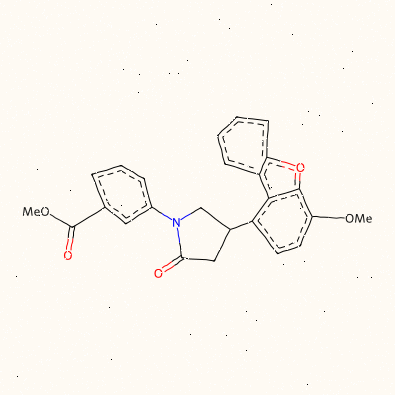 COC(=O)c1cccc(N2CC(c3ccc(OC)c4oc5ccccc5c34)CC2=O)c1